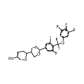 Fc1cc(OC(F)(F)c2c(F)cc(C3OCC(C4CCC(S)CO4)CO3)cc2F)cc(F)c1F